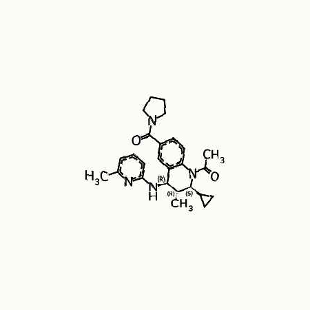 CC(=O)N1c2ccc(C(=O)N3CCCC3)cc2[C@H](Nc2cccc(C)n2)[C@@H](C)[C@@H]1C1CC1